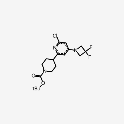 CC(C)(C)OC(=O)N1CCC(c2cc(N3CC(F)(F)C3)cc(Cl)n2)CC1